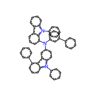 c1ccc(-c2cccc(N(c3ccc4c(c3)c3c(-c5ccccc5)cccc3n4-c3ccccc3)c3cccc4c5ccccc5n(-c5ccccc5)c34)c2)cc1